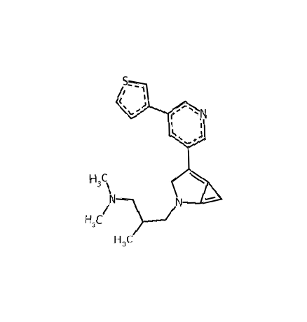 CC(CN(C)C)CN1CC(c2cncc(-c3ccsc3)c2)=C2C=C21